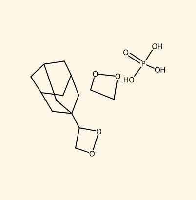 C1C2CC3CC1CC(C1COO1)(C2)C3.C1COO1.O=P(O)(O)O